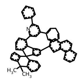 CC1(C)c2ccccc2C2(c3ccc(-c4ccc5ccc6ccccc6c5c4)cc3-c3c(-c4cc(C5=CCC=CC=C5)cc(-c5ccccc5)n4)cccc32)c2ccccc21